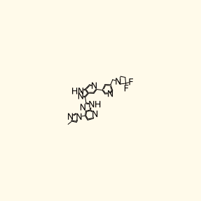 Cc1cn(-c2ccnc3[nH]c(-c4n[nH]c5cnc(-c6cncc(CN7CCC(F)(F)C7)c6)cc45)nc23)cn1